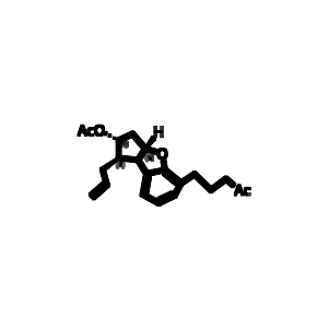 C=CC[C@@H]1C2c3cccc(CCCC(C)=O)c3O[C@H]2C[C@H]1OC(C)=O